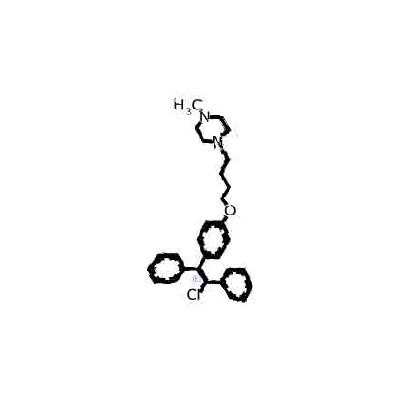 CN1CCN(CCCCOc2ccc(/C(=C(/Cl)c3ccccc3)c3ccccc3)cc2)CC1